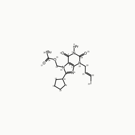 CCCn1c(=O)c2c(nc(C3CCCC3)n2COC(=O)C(C)(C)C)n(C/C=C/I)c1=O